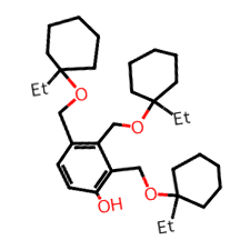 CCC1(OCc2ccc(O)c(COC3(CC)CCCCC3)c2COC2(CC)CCCCC2)CCCCC1